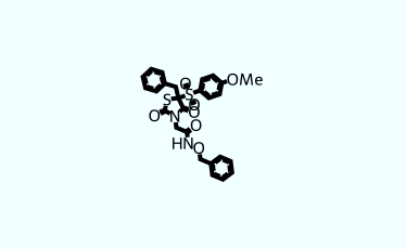 COc1ccc(S(=O)(=O)C2(Cc3ccccc3)SC(=O)N(CC(=O)NOCc3ccccc3)C2=O)cc1